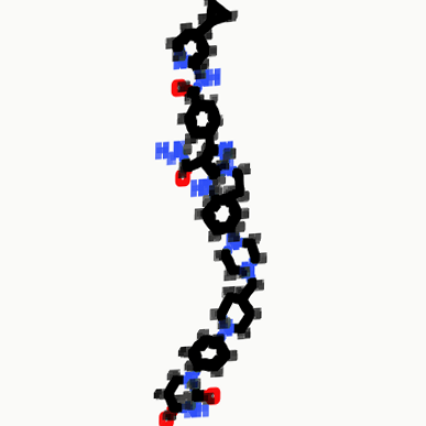 NC(=O)c1c(-c2ccc(C(=O)Nc3cc(C4CC4)ccn3)cc2)nn2c1Nc1ccc(N3CCN(CC4CCN(c5ccc(N6CCC(=O)NC6=O)cc5)CC4)CC3)cc1CC2